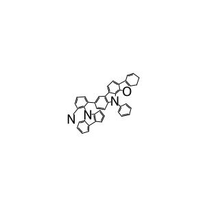 N#Cc1cccc(-c2ccc3c(c2)c2ccc4c5c(oc4c2n3-c2ccccc2)CCC=C5)c1-n1c2c(c3ccccc31)C=C=C2